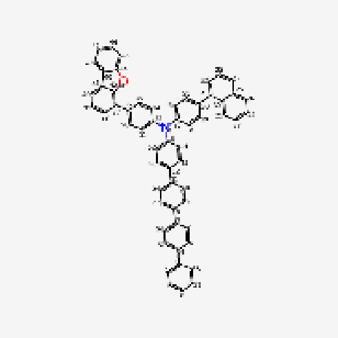 c1ccc(-c2ccc(-c3ccc(-c4ccc(N(c5ccc(-c6cccc7ccccc67)cc5)c5ccc(-c6cccc7c6oc6ccccc67)cc5)cc4)cc3)cc2)cc1